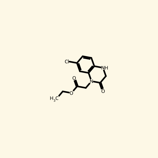 CCOC(=O)CN1C(=O)CNc2ccc(Cl)cc21